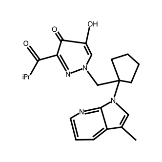 Cc1cn(C2(Cn3cc(O)c(=O)c(C(=O)C(C)C)n3)CCCC2)c2ncccc12